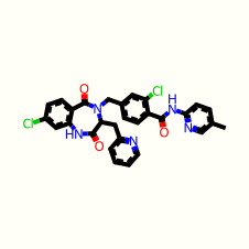 Cc1ccc(NC(=O)c2ccc(CN3C(=O)c4ccc(Cl)cc4NC(=O)C3Cc3ccccn3)cc2Cl)nc1